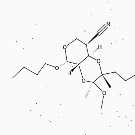 CCCCO[C@@H]1OC[C@@H](C#N)[C@H]2O[C@](C)(CCC)[C@@](C)(OC)O[C@H]12